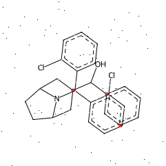 OC(c1ccccc1)C1CC2CCC(C1)N2C(c1ccccc1Cl)c1ccccc1Cl